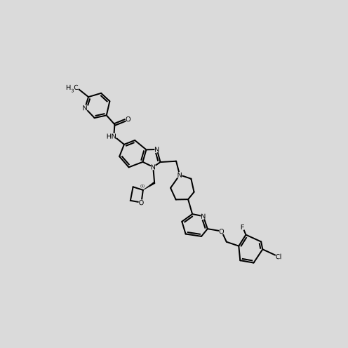 Cc1ccc(C(=O)Nc2ccc3c(c2)nc(CN2CCC(c4cccc(OCc5ccc(Cl)cc5F)n4)CC2)n3C[C@@H]2CCO2)cn1